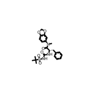 CN(C(=O)[C@H](Cc1ccccc1)NC(=O)NS(=O)(=O)C(C)(C)C)c1ccc2c(c1)OCO2